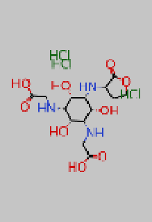 Cl.Cl.Cl.O=C(O)CN[C@@H]1[C@H](O)[C@H](NCC(=O)O)[C@H](O)[C@H](NC2CCOC2=O)[C@@H]1O